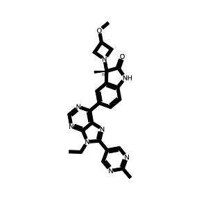 CCn1c(-c2cnc(C)nc2)nc2c(-c3ccc4c(c3)[C@](C)(N3CC(OC)C3)C(=O)N4)ncnc21